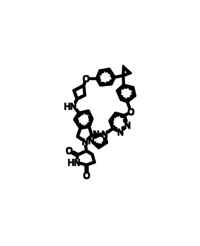 O=C1CCC(N2Cc3ccc(NC4CC(Oc5ccc(C6(c7ccc(Oc8ccc(-n9ccnn9)nn8)cc7)CC6)cc5)C4)cc3C2)C(=O)N1